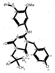 COc1cc(Nc2nc(=O)n(CC(C)(C)C(C)=O)c(=O)n2Cc2ccc(Cl)cc2)ccc1OC(C)C